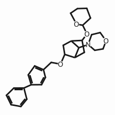 c1ccc(-c2ccc(COC3CC4C(OC5CCCCO5)CC3C4N3CCOCC3)cc2)cc1